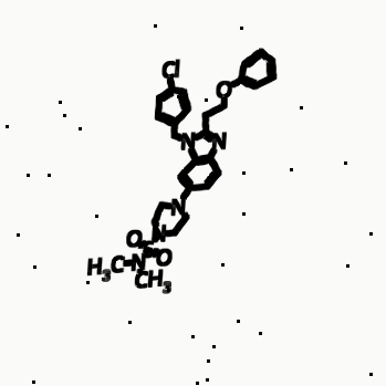 CN(C)S(=O)(=O)N1CCN(c2ccc3nc(CCOc4ccccc4)n(Cc4ccc(Cl)cc4)c3c2)CC1